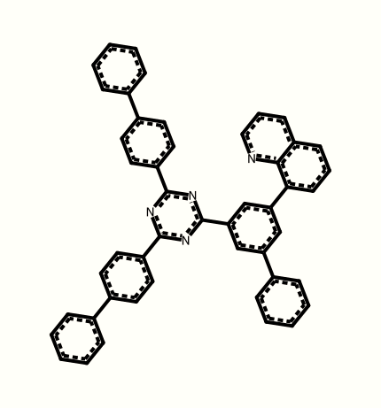 c1ccc(-c2ccc(-c3nc(-c4ccc(-c5ccccc5)cc4)nc(-c4cc(-c5ccccc5)cc(-c5cccc6cccnc56)c4)n3)cc2)cc1